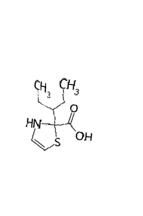 CCC(CC)C1(C(=O)O)NC=CS1